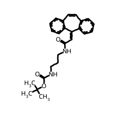 CC(C)(C)OC(=O)NCCCNC(=O)C=C1c2ccccc2C=Cc2ccccc21